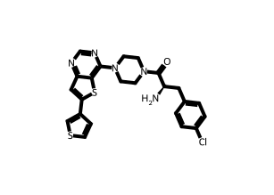 N[C@H](Cc1ccc(Cl)cc1)C(=O)N1CCN(c2ncnc3cc(-c4ccsc4)sc23)CC1